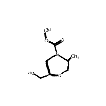 CC1CO[C@@H](CO)CN1C(=O)OC(C)(C)C